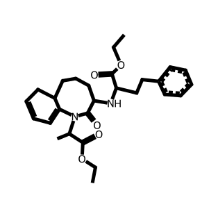 CCOC(=O)C(CCc1ccccc1)NC1CCCC2CC=CC=C2N(C(C)C(=O)OCC)C1=O